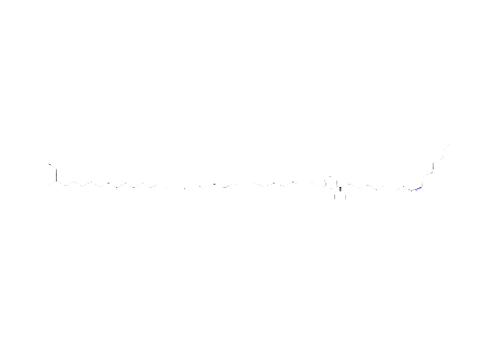 CCCCCC/C=C\CCCCCCCC(=O)OCCCCCCCCCCCCCCCCCCCCCCCCCCCCCC(C)CC